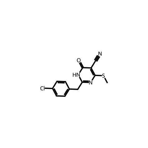 CSc1nc(Cc2ccc(Cl)cc2)[nH]c(=O)c1C#N